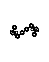 c1ccc(-c2nccc3c2oc2c(-c4ccc(-c5ccc(-c6cccc7c6oc6c(-c8ccccc8)nccc67)cc5)cc4)cccc23)cc1